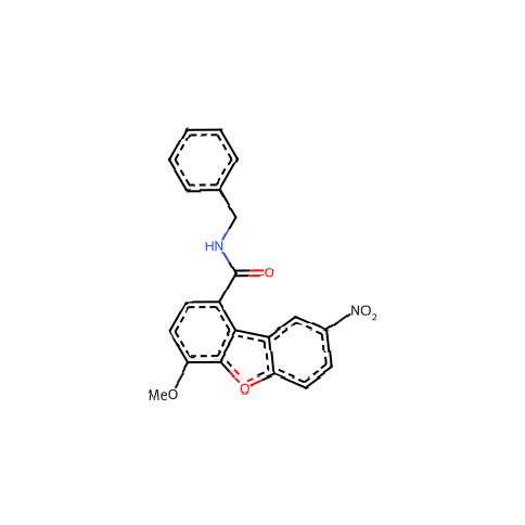 COc1ccc(C(=O)NCc2ccccc2)c2c1oc1ccc([N+](=O)[O-])cc12